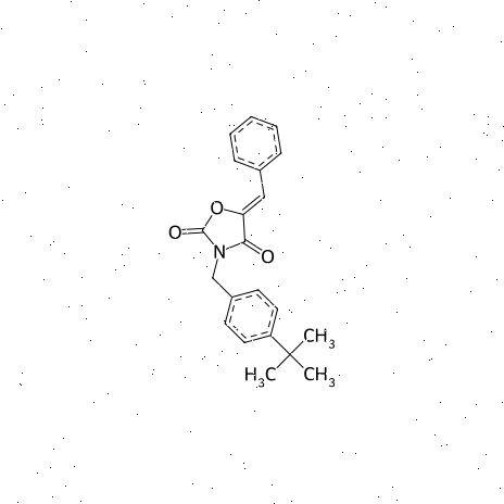 CC(C)(C)c1ccc(CN2C(=O)O/C(=C\c3ccccc3)C2=O)cc1